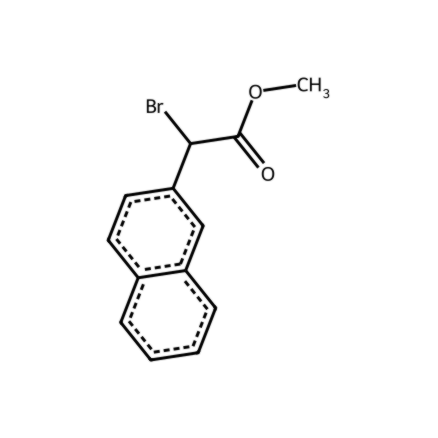 COC(=O)C(Br)c1ccc2ccccc2c1